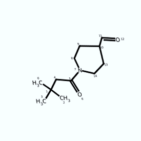 CC(C)(C)CC(=O)N1CCC(C=O)CC1